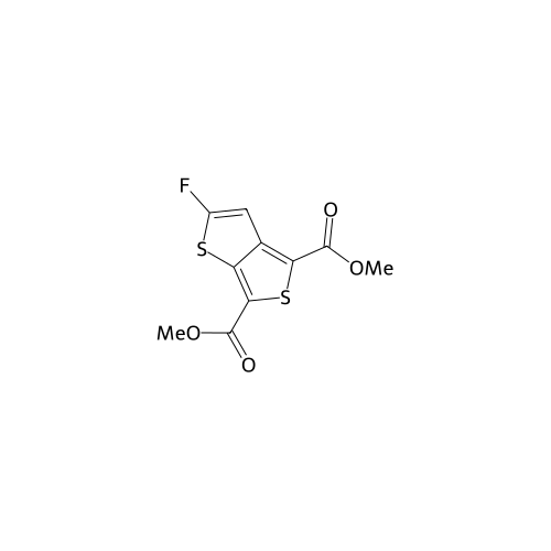 COC(=O)c1sc(C(=O)OC)c2sc(F)cc12